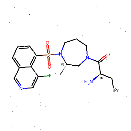 CC(C)C[C@@H](N)C(=O)N1CCCN(S(=O)(=O)c2cccc3cncc(F)c23)[C@@H](C)C1